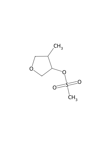 CC1COCC1OS(C)(=O)=O